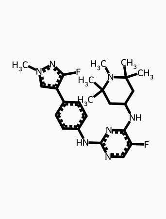 CN1C(C)(C)CC(Nc2nc(Nc3ccc(-c4cn(C)nc4F)cc3)ncc2F)CC1(C)C